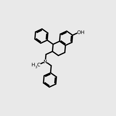 CN(Cc1ccccc1)CC1CCc2cc(O)ccc2C1c1ccccc1